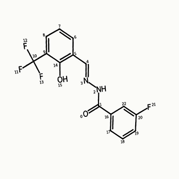 O=C(N/N=C/c1cccc(C(F)(F)F)c1O)c1cccc(F)c1